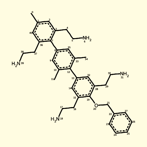 Cc1cc(CCN)c(-c2cc(C)c(-c3cc(CCN)c(OCc4ccccc4)c(CCN)c3)c(C)c2)c(CCN)c1